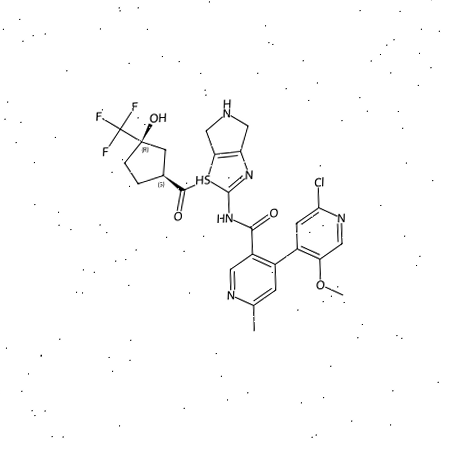 COc1cnc(Cl)cc1-c1cc(C)ncc1C(=O)NC1=NC2=C(CNC2)[SH]1C(=O)[C@H]1CC[C@](O)(C(F)(F)F)C1